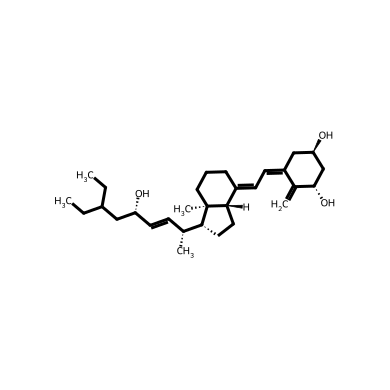 C=C1/C(=C\C=C2/CCC[C@]3(C)[C@@H]([C@H](C)/C=C/[C@@H](O)CC(CC)CC)CC[C@@H]23)C[C@@H](O)C[C@@H]1O